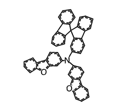 c1ccc2c(c1)-c1ccccc1C21c2ccccc2-c2ccc(N(c3ccc4c(c3)oc3ccccc34)c3ccc4c(c3)oc3ccccc34)cc21